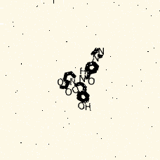 O=C(NC(Cc1ccc(O)cc1)C(=O)N1CCCC2OCC(=O)C21)c1ccc(-n2ccnc2)cc1